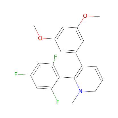 COc1cc(OC)cc(C2=C(c3c(F)cc(F)cc3F)N(C)CC=C2)c1